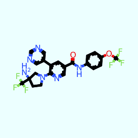 NC1(C(F)(F)F)CCN(c2ncc(C(=O)Nc3ccc(OC(F)(F)F)cc3)cc2-c2cncnc2)C1